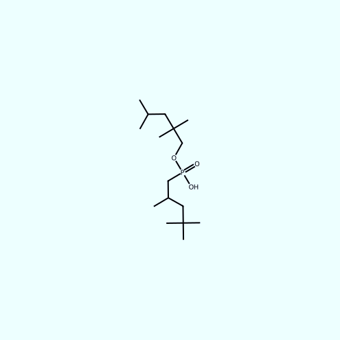 CC(C)CC(C)(C)COP(=O)(O)CC(C)CC(C)(C)C